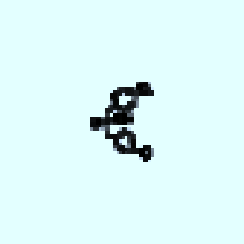 COc1ccc(CP(=O)(O)Cc2ccc(OC)cc2)cc1